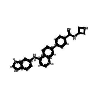 O=C(NC1CNC1)c1ccc(-c2ccc3c(Nc4ccc5scnc5c4)ccnc3c2)cc1